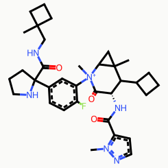 Cn1nccc1C(=O)N[C@@H]1C(=O)[N+](C)(c2cc(C3(C(=O)NCC4(C)CCC4)CCCN3)ccc2F)C2CC2(C)C1C1CCC1